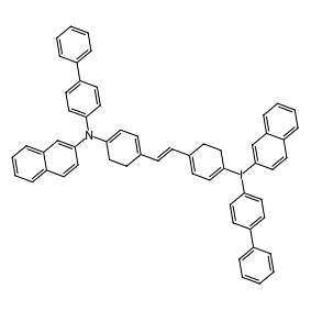 C1=C(/C=C/C2=CC=C(I(c3ccc(-c4ccccc4)cc3)c3ccc4ccccc4c3)CC2)CCC(N(c2ccc(-c3ccccc3)cc2)c2ccc3ccccc3c2)=C1